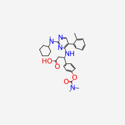 Cc1ccccc1-c1cnc(N(C)C2CCCCC2)nc1NC(CC(=O)O)c1ccc(OC(=O)N(C)C)cc1